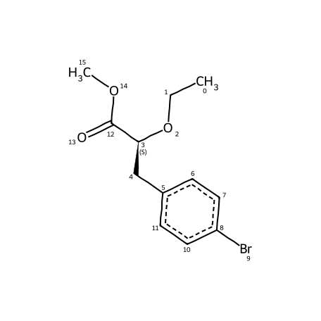 CCO[C@@H](Cc1ccc(Br)cc1)C(=O)OC